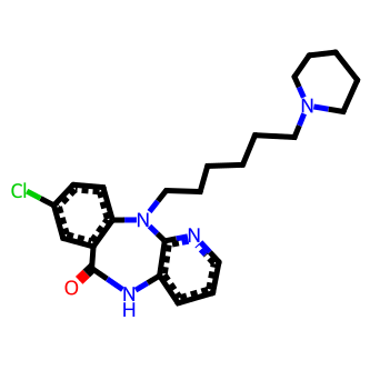 O=C1Nc2cccnc2N(CCCCCCN2CCCCC2)c2ccc(Cl)cc21